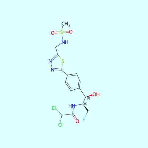 CS(=O)(=O)NCc1nnc(-c2ccc([C@@H](O)[C@@H](CF)NC(=O)C(Cl)Cl)cc2)s1